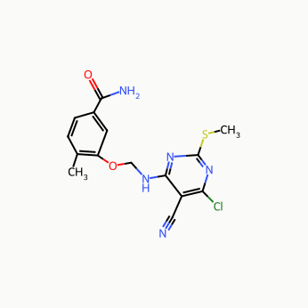 CSc1nc(Cl)c(C#N)c(NCOc2cc(C(N)=O)ccc2C)n1